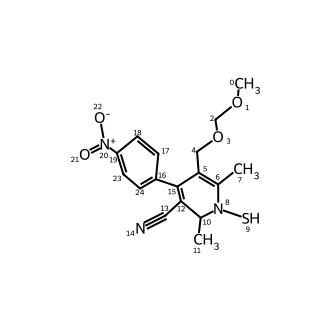 COCOCC1=C(C)N(S)C(C)C(C#N)=C1c1ccc([N+](=O)[O-])cc1